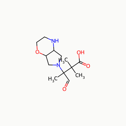 CC(C)(C(=O)O)C(C)(C=O)N1CC2NCCOC2C1